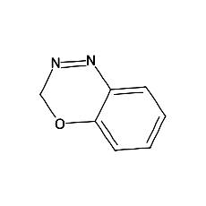 c1ccc2c(c1)N=NCO2